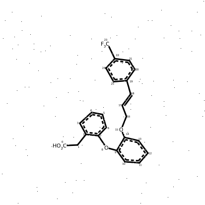 O=C(O)Cc1ccccc1Oc1ccccc1OCC=Cc1ccc(C(F)(F)F)cc1